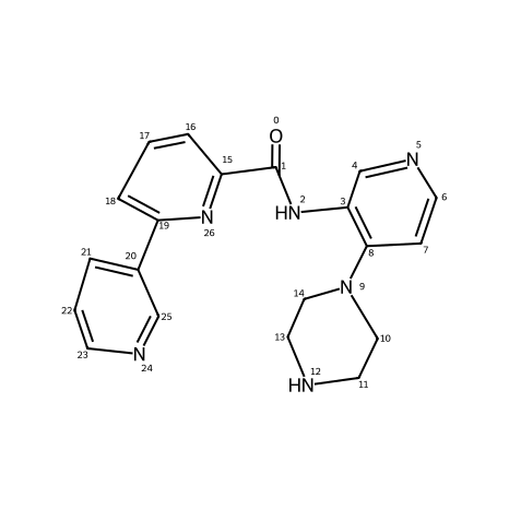 O=C(Nc1cnccc1N1CCNCC1)c1cccc(-c2cccnc2)n1